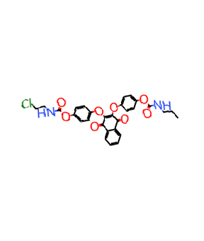 CCCNC(=O)Oc1ccc(OC2=C(Oc3ccc(OC(=O)NCCCl)cc3)C(=O)c3ccccc3C2=O)cc1